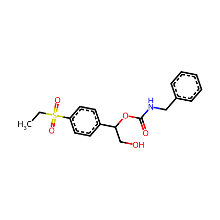 CCS(=O)(=O)c1ccc(C(CO)OC(=O)NCc2ccccc2)cc1